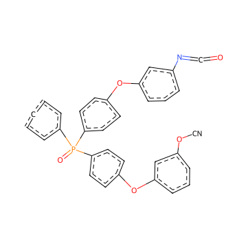 N#COc1cccc(Oc2ccc(P(=O)(c3ccccc3)c3ccc(Oc4cccc(N=C=O)c4)cc3)cc2)c1